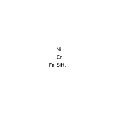 [Cr].[Fe].[Ni].[SiH4]